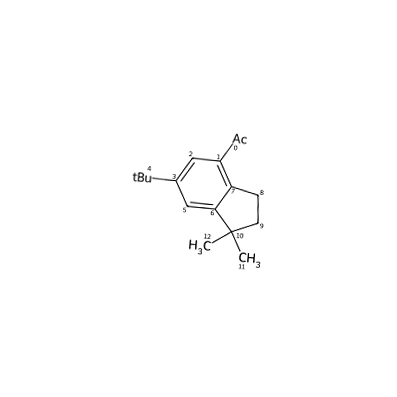 CC(=O)c1cc(C(C)(C)C)cc2c1CCC2(C)C